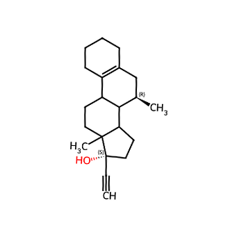 C#C[C@]1(O)CCC2C3C(CCC21C)C1=C(CCCC1)C[C@H]3C